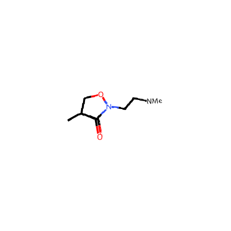 CNCCN1OCC(C)C1=O